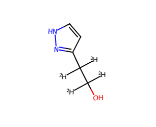 [2H]C([2H])(O)C([2H])([2H])c1cc[nH]n1